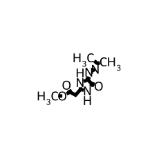 COC(=O)CC1NC(=O)C(=NN=C(C)C)N1